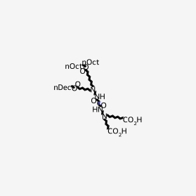 CCCCCCCCCCCOC(=O)CCCCCN(CCCCCCCC(=O)OC(CCCCCCCC)CCCCCCCC)CCNC(=O)/C=C/C(=O)NCCN(CCCCCCCC(=O)O)CCCCCC(=O)O